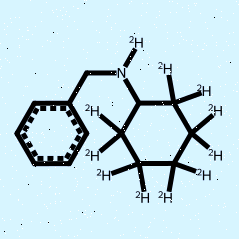 [2H]N(Cc1ccccc1)C1C([2H])([2H])C([2H])([2H])C([2H])([2H])C([2H])([2H])C1([2H])[2H]